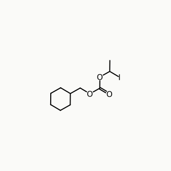 CC(I)OC(=O)OCC1CCCCC1